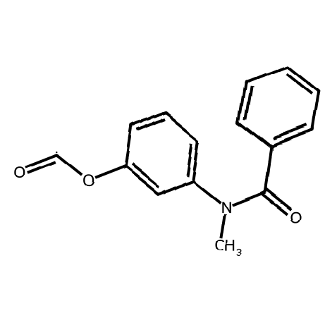 CN(C(=O)c1ccccc1)c1cccc(O[C]=O)c1